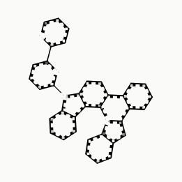 c1ccc(-c2cccc(-n3c4ccccc4c4c3ccc3c5ccccc5c5cc6ccccc6n5c34)n2)nc1